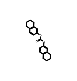 O=C(Oc1ccc2c(c1)CCCC2)Oc1ccc2c(c1)CCCC2